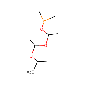 CC(=O)OC(C)OC(C)OC(C)OP(C)C